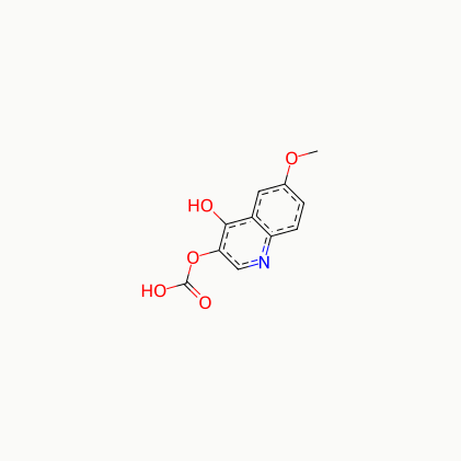 COc1ccc2ncc(OC(=O)O)c(O)c2c1